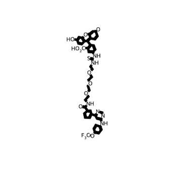 O=C(NCCOCCOCCOCCNC(=S)Nc1ccc(-c2c3ccc(=O)cc-3oc3cc(O)ccc23)c(C(=O)O)c1)c1cccc(-c2cc(Nc3ccc(OC(F)(F)F)cc3)ncn2)c1